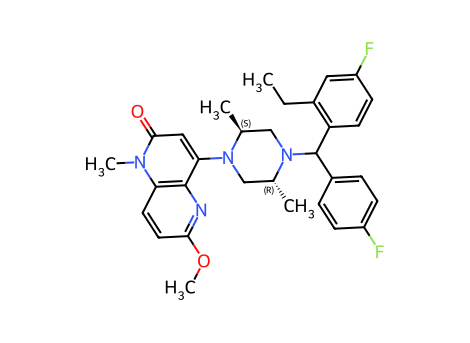 CCc1cc(F)ccc1C(c1ccc(F)cc1)N1C[C@H](C)N(c2cc(=O)n(C)c3ccc(OC)nc23)C[C@H]1C